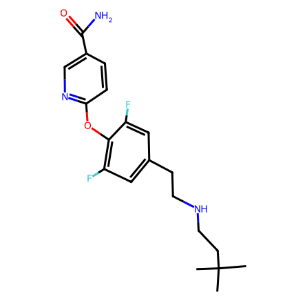 CC(C)(C)CCNCCc1cc(F)c(Oc2ccc(C(N)=O)cn2)c(F)c1